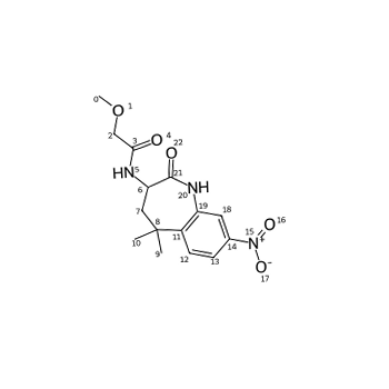 COCC(=O)NC1CC(C)(C)c2ccc([N+](=O)[O-])cc2NC1=O